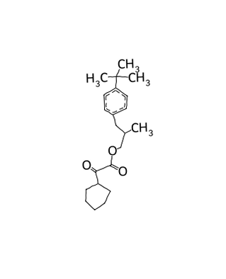 CC(COC(=O)C(=O)C1CCCCC1)Cc1ccc(C(C)(C)C)cc1